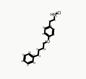 ClNCCc1ccc(OCCCCc2ccccc2)cc1